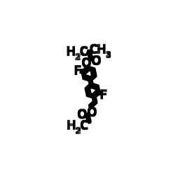 C=CC(=O)OCCc1ccc(-c2ccc(OC(=O)C(=C)C)c(F)c2)cc1F